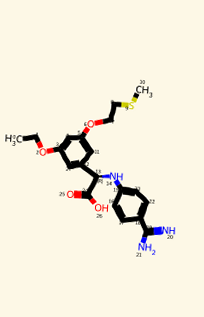 CCOc1cc(OCCSC)cc([C@@H](Nc2ccc(C(=N)N)cc2)C(=O)O)c1